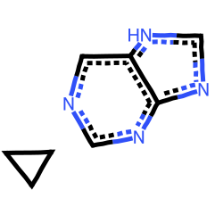 C1CC1.c1ncc2[nH]cnc2n1